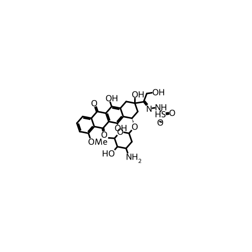 COc1cccc2c1C(=O)c1c(O)c3c(c(O)c1C2=O)CC(O)(C(CO)=NN[SH](=O)=O)C[C@@H]3OC1CC(N)C(O)C(C)O1